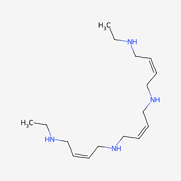 CCNC/C=C\CNC/C=C\CNC/C=C\CNCC